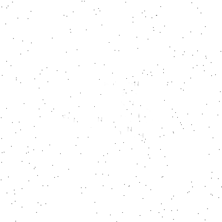 CC(=O)N1CCC2(CCC2N2CC(Cc3cn(-c4ccc(F)cc4C(=O)N(C)C(C)C)c4cncc(C)c34)C2)CC1